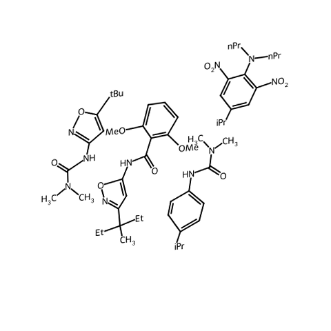 CC(C)c1ccc(NC(=O)N(C)C)cc1.CCC(C)(CC)c1cc(NC(=O)c2c(OC)cccc2OC)on1.CCCN(CCC)c1c([N+](=O)[O-])cc(C(C)C)cc1[N+](=O)[O-].CN(C)C(=O)Nc1cc(C(C)(C)C)on1